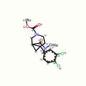 CON(C)C(=O)C12CN(C(=O)OC(C)(C)C)CCC1(c1ccc(Cl)c(Cl)c1)C2